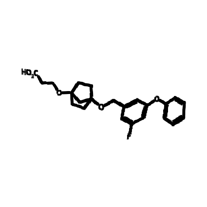 O=C(O)CCOC12CCC(OCc3cc(F)cc(Oc4ccccc4)c3)(CC1)C2